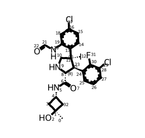 C[C@]1(O)C[C@H](NC(=O)[C@@H]2NC[C@@](I)(c3ccc(Cl)cc3NC=O)[C@H]2c2cccc(Cl)c2F)C1